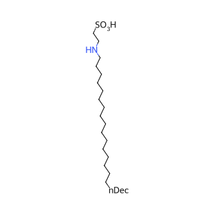 CCCCCCCCCCCCCCCCCCCCCCCCCCNCCS(=O)(=O)O